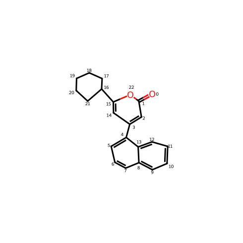 O=c1cc(-c2cccc3ccccc23)cc(C2CCCCC2)o1